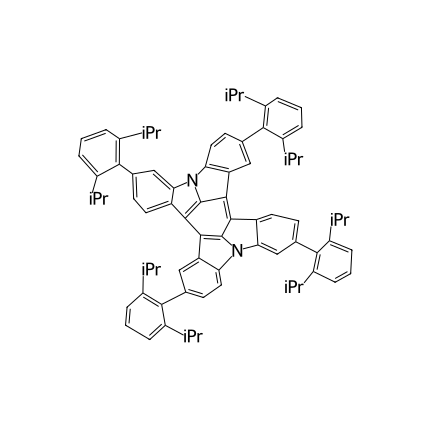 CC(C)c1cccc(C(C)C)c1-c1ccc2c(c1)c1c3c4ccc(-c5c(C(C)C)cccc5C(C)C)cc4n4c5ccc(-c6c(C(C)C)cccc6C(C)C)cc5c(c5c6ccc(-c7c(C(C)C)cccc7C(C)C)cc6n2c15)c34